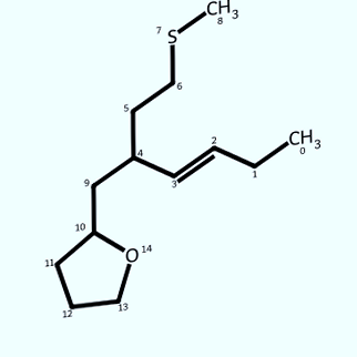 CCC=CC(CCSC)CC1CCCO1